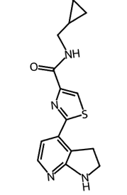 O=C(NCC1CC1)c1csc(-c2ccnc3c2CCN3)n1